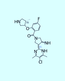 CC1=N/C(=C2\CN(C(=O)c3ccc(F)cc3OC3CNC[C@@H]3C)CC2=N)NC(C)=C1Cl